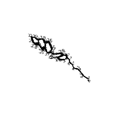 CCCCCCCCc1ccc2sc(-c3ccc4cc5ccccc5cc4c3)cc2c1